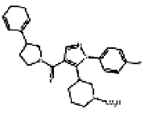 O=C(O)N1CCCC(c2c(C(=O)N3CCC(C4=CCCC=C4)C3)cnn2-c2ccc(F)cc2)C1